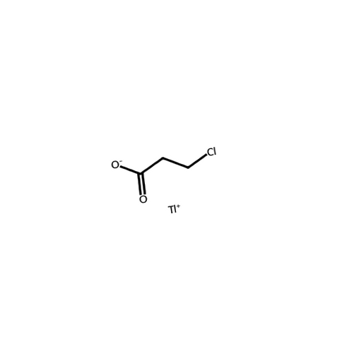 O=C([O-])CCCl.[Tl+]